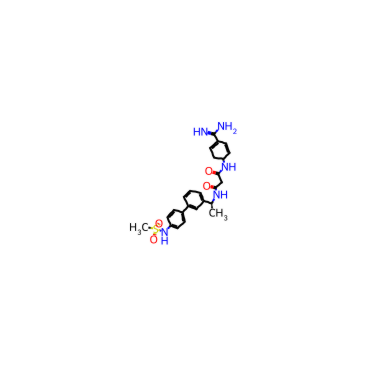 C[C@H](NC(=O)CC(=O)NC1C=CC(C(=N)N)=CC1)c1cccc(-c2ccc(NS(C)(=O)=O)cc2)c1